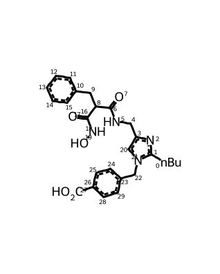 CCCCc1nc(CNC(=O)C(Cc2ccccc2)C(=O)NO)cn1Cc1ccc(C(=O)O)cc1